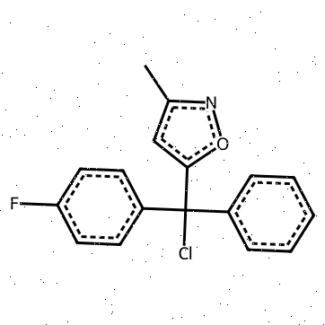 Cc1cc(C(Cl)(c2ccccc2)c2ccc(F)cc2)on1